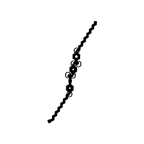 C#CCCCCCCCCCCCCOc1ccc(C#CC(=O)Oc2ccc(OC(=O)C3CCC(OCCCCCCCCCCCCC=C)CC3)cc2)cc1